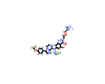 Cc1cc(Nc2nccn3c(-c4ccc(OC(F)F)cc4)cnc23)ccc1C(=O)NCCOCCN.Cl